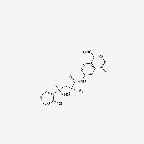 CC1=NOC(C=O)c2ccc(NC(=O)C(O)(CC(C)(C)c3ccccc3Cl)C(F)(F)F)cc21